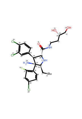 CC(C)(C)C[C@@H]1N[C@@H](C(=O)NCC[C@H](O)CO)[C@H](c2ccc(Cl)c(Cl)c2)[C@@]1(N)c1ccc(Cl)cc1F